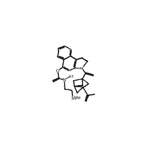 C=C(Oc1cc2c(c3ccccc13)CCN2C(=C)C12CC3(C1)CC3(C(=C)C)C2)N(CC)CCSC